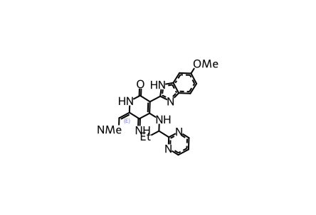 CCC(NC1=C(c2nc3ccc(OC)cc3[nH]2)C(=O)N/C(=C/NC)C1=N)c1ncccn1